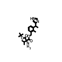 Cc1c(COC(=O)C(N)(C(=O)OC(C)(C)C)C(C)C)cccc1C(C)c1c[nH]cn1